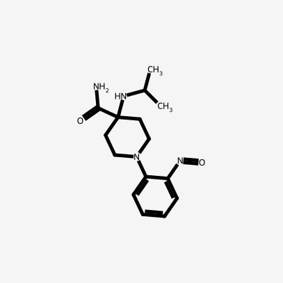 CC(C)NC1(C(N)=O)CCN(c2ccccc2N=O)CC1